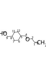 C=CCOCC1CCC(CO)CC1